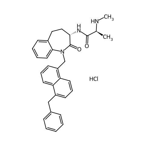 CN[C@@H](C)C(=O)N[C@H]1CCc2ccccc2N(Cc2cccc3c(Cc4ccccc4)cccc23)C1=O.Cl